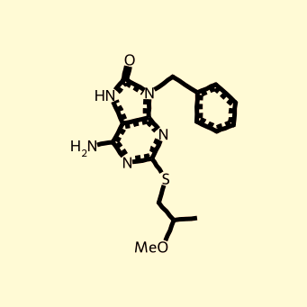 COC(C)CSc1nc(N)c2[nH]c(=O)n(Cc3ccccc3)c2n1